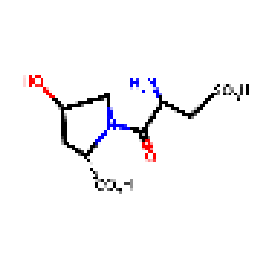 N[C@@H](CS(=O)(=O)O)C(=O)N1CC(O)C[C@H]1C(=O)O